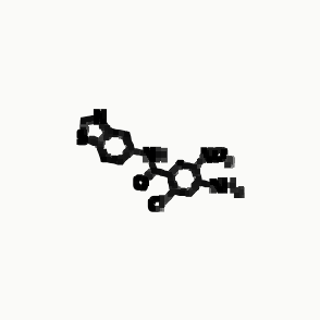 Nc1cc(Cl)c(C(=O)Nc2ccc3scnc3c2)cc1[N+](=O)[O-]